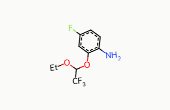 CCOC(Oc1cc(F)ccc1N)C(F)(F)F